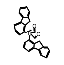 [CH2]=[Ti]([CH]=O)([CH]=O)([c]1cccc2c1Cc1ccccc1-2)[c]1cccc2c1Cc1ccccc1-2